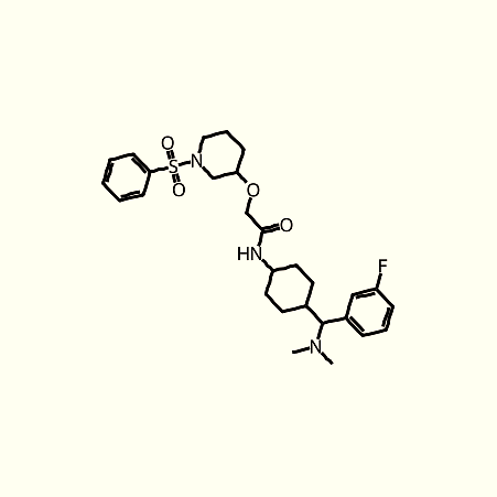 CN(C)C(c1cccc(F)c1)C1CCC(NC(=O)COC2CCCN(S(=O)(=O)c3ccccc3)C2)CC1